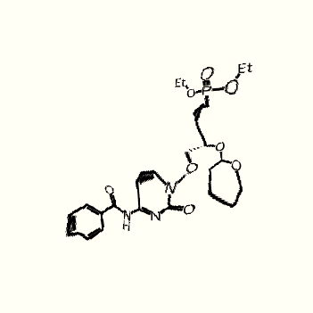 CCOP(=O)(/C=C/[C@@H](COn1ccc(NC(=O)c2ccccc2)nc1=O)O[C@@H]1CCCCO1)OCC